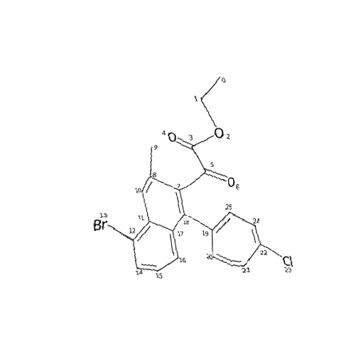 CCOC(=O)C(=O)c1c(C)cc2c(Br)cccc2c1-c1ccc(Cl)cc1